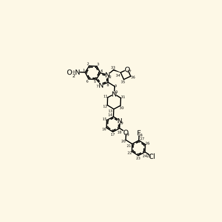 O=[N+]([O-])c1ccc2c(c1)nc(CN1CCC(c3cccc(OCc4ccc(Cl)cc4F)n3)CC1)n2C[C@@H]1CCO1